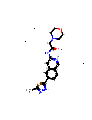 Cc1nnc(-c2ccc3cnc(NC(=O)CN4C[CH]OCC4)cc3c2)s1